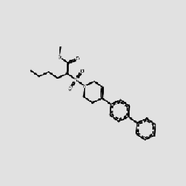 CCCCC(C(=O)OC)S(=O)(=O)N1CC=C(c2ccc(-c3ccccc3)cc2)CC1